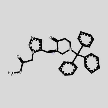 COC(=O)Cn1nncc1/C=C1/CN(C(c2ccccc2)(c2ccccc2)c2ccccc2)CCC1=O